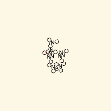 c1ccc(-c2nc(-c3ccccc3)nc(-c3ccc(-n4c5ccccc5c5cc6c7ccccc7n(-c7ccccc7)c6cc54)c(-c4nc(-c5ccccc5)nc(-c5cccc(-c6ccc7c8c6N(c6ccccc6)c6ccccc6B8c6ccccc6N7c6ccccc6)c5)n4)c3)n2)cc1